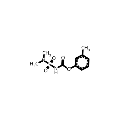 Cc1cccc(OC(=O)NS(=O)(=O)N(C)C)c1